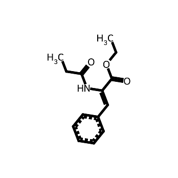 CCOC(=O)/C(=C/c1ccccc1)NC(=O)CC